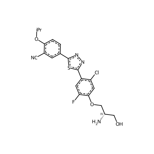 CC(C)Oc1ccc(-c2nnc(-c3cc(F)c(OC[C@@H](N)CO)cc3Cl)s2)cc1C#N